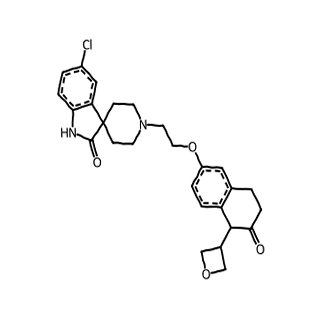 O=C1CCc2cc(OCCN3CCC4(CC3)C(=O)Nc3ccc(Cl)cc34)ccc2C1C1COC1